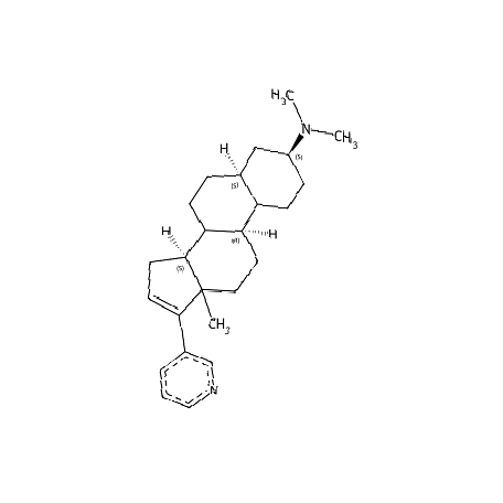 CN(C)[C@H]1CCC2[C@@H](CCC3[C@@H]2CCC2(C)C(c4cccnc4)=CC[C@@H]32)C1